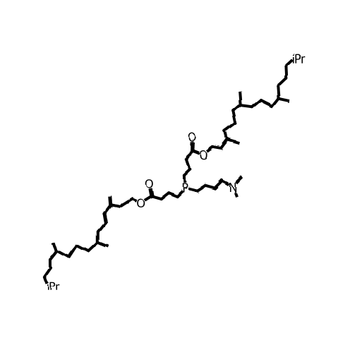 CC(C)CCCC(C)CCCC(C)CCCC(C)CCOC(=O)CCCP(CCCCN(C)C)CCCC(=O)OCCC(C)CCCC(C)CCCC(C)CCCC(C)C